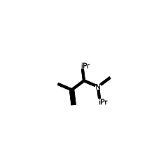 C=C(C)C(C(C)C)N(C)C(C)C